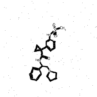 CS(=O)(=O)Nc1cccc(C2(C(=O)NC(CN3CCCC3)c3ccccc3)CC2)c1